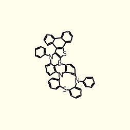 c1ccc(N2c3ccc4c(c3)N(c3ccccc3Sc3ccccc32)c2cccc3c2B4c2sc4c5ccccc5c5ccccc5c4c2N3c2ccccc2)cc1